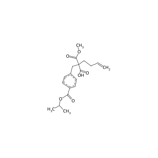 C=CCCC(Cc1ccc(C(=O)OC(C)C)cc1)(C(=O)O)C(=O)OC